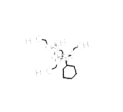 CCO[Si](C)(C)C[Si](OCC)(OCC)C1CCCCC1